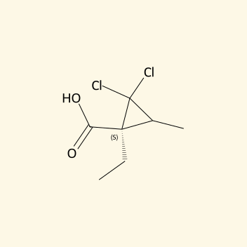 CC[C@@]1(C(=O)O)C(C)C1(Cl)Cl